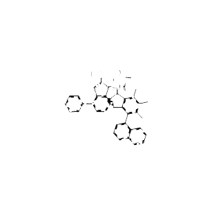 CC1=Cc2c(-c3cccc4ccccc34)c(C)c(C)c(C)c2[CH]1[Zr]([Cl])([Cl])([CH]1C(C(C)C)=Cc2c(-c3ccccc3)cccc21)[SiH](C)C